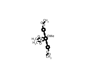 C=CC(=O)OCc1ccc(C#Cc2cc(OC)c(C#Cc3ccc(COC(=O)C=C)cc3)c(COC(=O)C=C)c2COC(=O)C=C)cc1